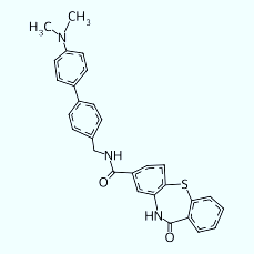 CN(C)c1ccc(-c2ccc(CNC(=O)c3ccc4c(c3)NC(=O)c3ccccc3S4)cc2)cc1